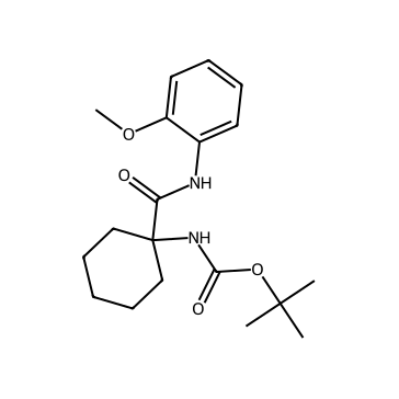 COc1ccccc1NC(=O)C1(NC(=O)OC(C)(C)C)CCCCC1